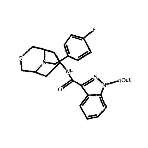 CCCCCCCCn1nc(C(=O)NC2CC3COCC(C2)N3Cc2ccc(F)cc2)c2ccccc21